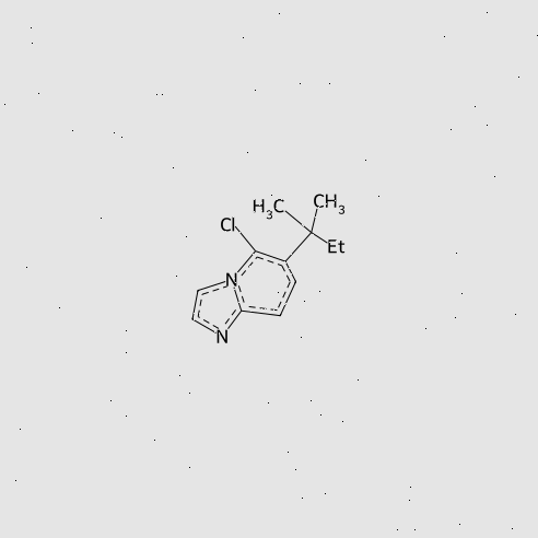 CCC(C)(C)c1ccc2nccn2c1Cl